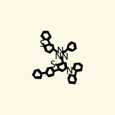 c1ccc(-c2ccc3c(c2)sc2c(-c4nc(-c5ccccc5)nc(-c5ccc6sc7ccccc7c6c5)n4)cc(-n4c5ccccc5c5ccccc54)cc23)cc1